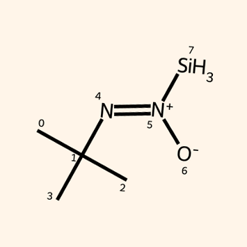 CC(C)(C)/N=[N+](\[O-])[SiH3]